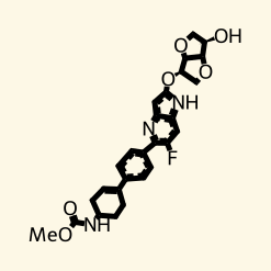 COC(=O)NC1CC=C(c2ccc(-c3nc4cc(O[C@@H]5COC6C5OC[C@H]6O)[nH]c4cc3F)cc2)CC1